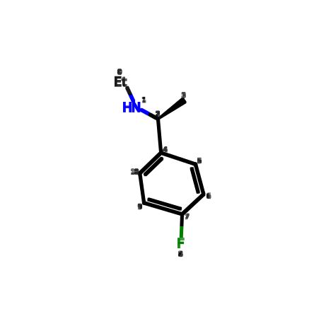 CCN[C@@H](C)c1ccc(F)cc1